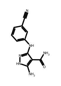 N#Cc1cccc(Nc2n[nH]c(N)c2C(N)=O)c1